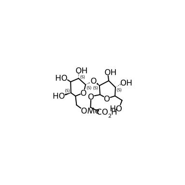 COCC1O[C@@H](O[C@@H]2C(OCC(=O)O)OC(CO)[C@@H](O)C2O)[C@@H](O)C(O)[C@@H]1O